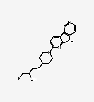 OC(CF)COC1CCN(c2ccc3c(n2)[nH]c2ccncc23)CC1